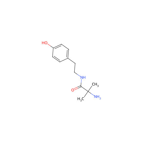 CC(C)(N)C(=O)NCCc1ccc(O)cc1